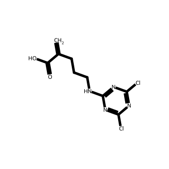 C=C(CCCNc1nc(Cl)nc(Cl)n1)C(=O)O